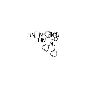 Cl.Cl.O=C1c2cccc(N3CCNCC3)c2Nc2ccccc2N1Cc1ccccc1